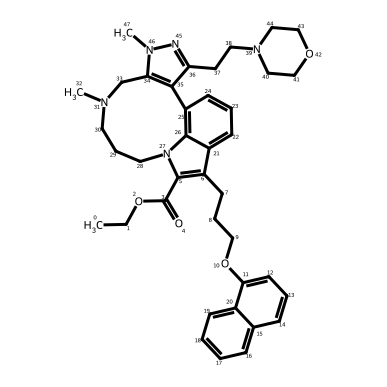 CCOC(=O)c1c(CCCOc2cccc3ccccc23)c2cccc3c2n1CCCN(C)Cc1c-3c(CCN2CCOCC2)nn1C